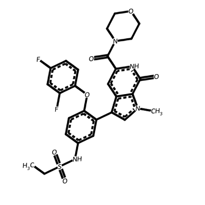 CCS(=O)(=O)Nc1ccc(Oc2ccc(F)cc2F)c(-c2cn(C)c3c(=O)[nH]c(C(=O)N4CCOCC4)cc23)c1